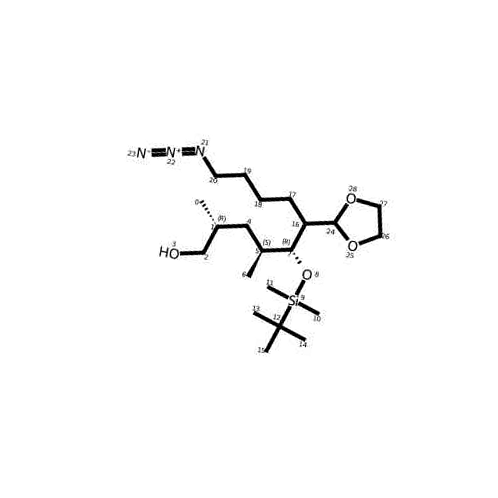 C[C@@H](CO)C[C@H](C)[C@@H](O[Si](C)(C)C(C)(C)C)C(CCCCN=[N+]=[N-])C1OCCO1